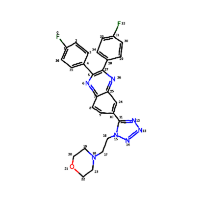 Fc1ccc(-c2nc3ccc(-c4nnnn4CCN4CCOCC4)cc3nc2-c2ccc(F)cc2)cc1